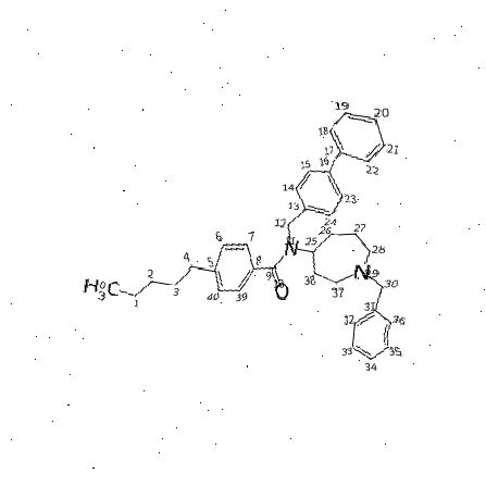 CCCCCc1ccc(C(=O)N(Cc2ccc(-c3ccccc3)cc2)C2CCCN(Cc3ccccc3)CC2)cc1